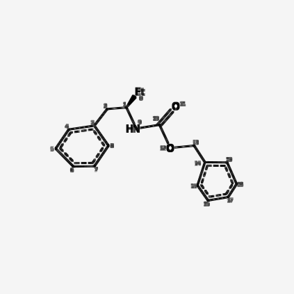 CC[C@H](Cc1ccccc1)NC(=O)OCc1ccccc1